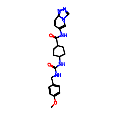 COc1ccc(CNC(=O)NC2CCC(C(=O)Nc3ccc4nncn4c3)CC2)cc1